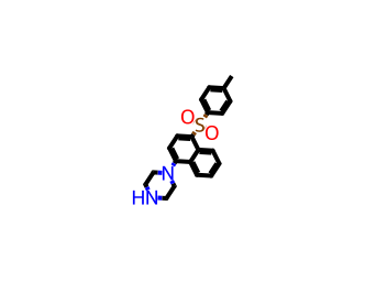 Cc1ccc(S(=O)(=O)c2ccc(N3CCNCC3)c3ccccc23)cc1